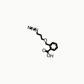 [N-]=[N+]=NCCCOCc1ccccc1C(=O)O